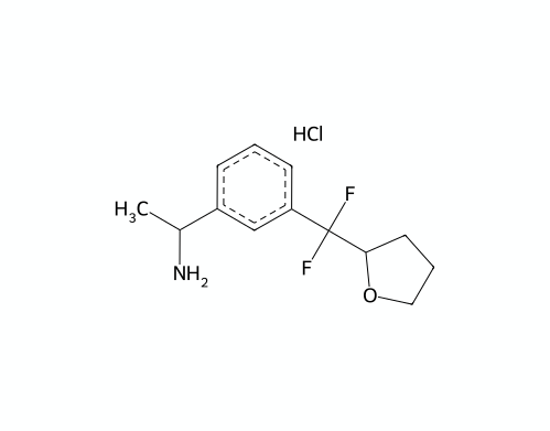 CC(N)c1cccc(C(F)(F)C2CCCO2)c1.Cl